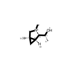 C[C@@H](O)[C@@H]1[C@H]2C[C@H]2CN1C